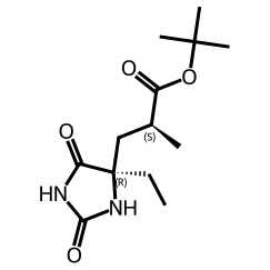 CC[C@]1(C[C@H](C)C(=O)OC(C)(C)C)NC(=O)NC1=O